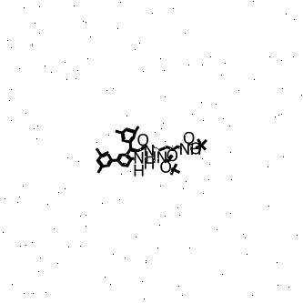 Cc1cc(C)cc(-c2ccc3[nH]c(C(=O)NC[C@H](CCCNC(=O)OC(C)(C)C)NC(=O)OC(C)(C)C)c(-c4cc(C)cc(C)c4)c3c2)c1